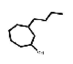 CCCCC1CCCCC(O)C1